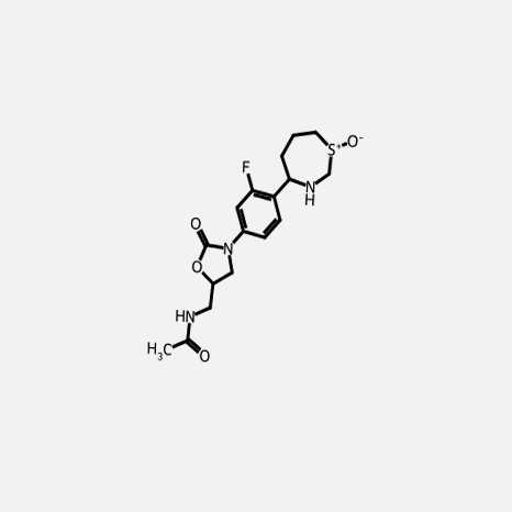 CC(=O)NCC1CN(c2ccc(C3CCC[S+]([O-])CN3)c(F)c2)C(=O)O1